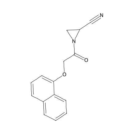 N#CC1CN1C(=O)COc1cccc2ccccc12